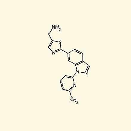 Cc1cccc(-n2ncc3ccc(-c4ncc(CN)s4)cc32)n1